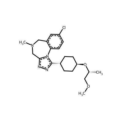 COC[C@@H](C)O[C@H]1CC[C@H](c2nnc3n2-c2ccc(Cl)cc2CN(C)C3)CC1